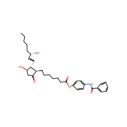 CCCCC[C@H](O)/C=C/[C@H]1[C@H](O)CC(=O)[C@@H]1CCCCCCC(=O)Oc1ccc(NC(=O)c2ccccc2)cc1